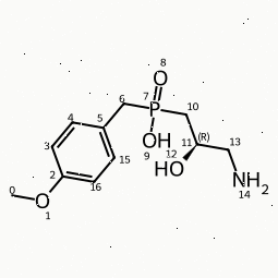 COc1ccc(CP(=O)(O)C[C@H](O)CN)cc1